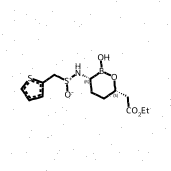 CCOC(=O)C[C@@H]1CC[C@H](N[S+]([O-])Cc2cccs2)B(O)O1